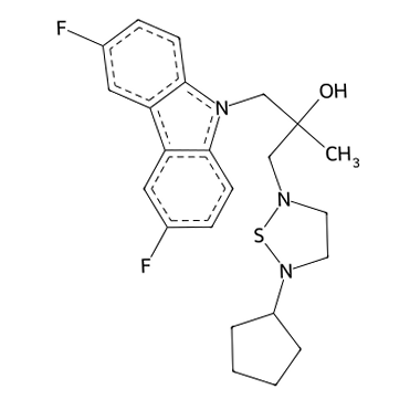 CC(O)(CN1CCN(C2CCCC2)S1)Cn1c2ccc(F)cc2c2cc(F)ccc21